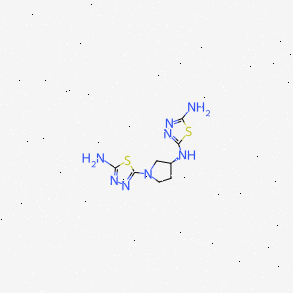 Nc1nnc(N[C@H]2CCN(c3nnc(N)s3)C2)s1